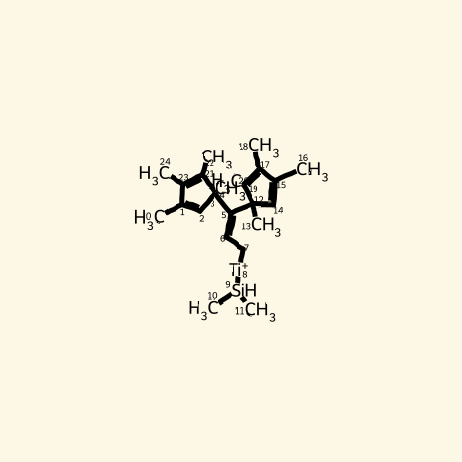 CC1=CC(C)(C(=C[CH2][Ti+][SiH](C)C)C2(C)C=C(C)C(C)=C2C)C(C)=C1C